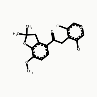 COc1ccc(C(=O)Cc2c(Cl)cncc2Cl)c2c1OC(C)(C)C2